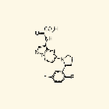 O=C(O)C(=O)Nc1cnn2ccc(N3CCCC3c3cc(F)ccc3F)nc12